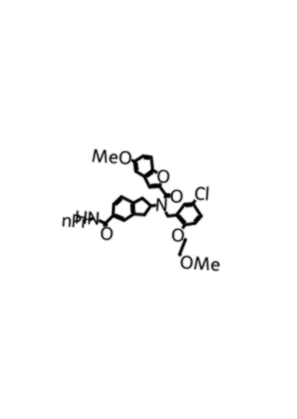 CCCNC(=O)c1ccc2c(c1)CC(N(Cc1cc(Cl)ccc1OCCOC)C(=O)c1cc3cc(OC)ccc3o1)C2